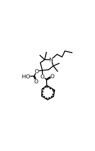 CCCCN1C(C)(C)CC(OC(=O)O)(OC(=O)c2ccccc2)CC1(C)C